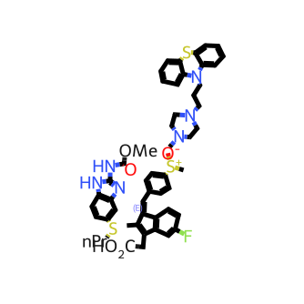 CC1=C(CC(=O)O)c2cc(F)ccc2/C1=C\c1ccc([S+](C)[O-])cc1.CCCSc1ccc2[nH]c(NC(=O)OC)nc2c1.CN1CCN(CCCN2c3ccccc3Sc3ccccc32)CC1